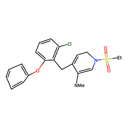 CCS(=O)(=O)N1C=C(NC)C(Cc2c(Cl)cccc2Oc2ccccc2)=CC1